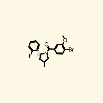 COc1cc(C(=O)N2CC(C)C[C@@H]2c2ccccc2F)ccc1Br